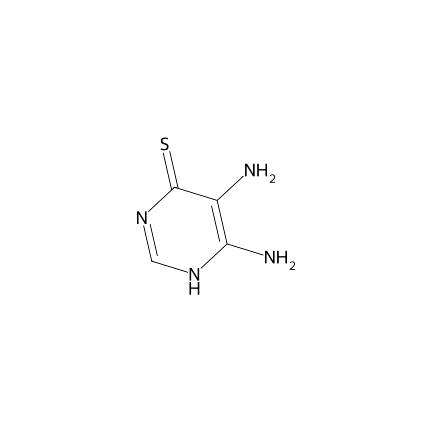 Nc1[nH]cnc(=S)c1N